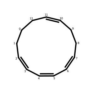 [CH]1CC=CC=CC=CCCC=CC1